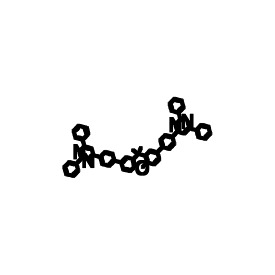 CC1(C)c2cc(-c3ccc(-c4cc(-c5c#cccc5)nc(-c5ccccc5)n4)cc3)ccc2Oc2ccc(-c3ccc(-c4cc(-c5ccccc5)nc(-c5ccccc5)n4)cc3)cc21